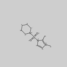 Cc1n(S(=O)(=O)N2CCCCC2)cc[n+]1C